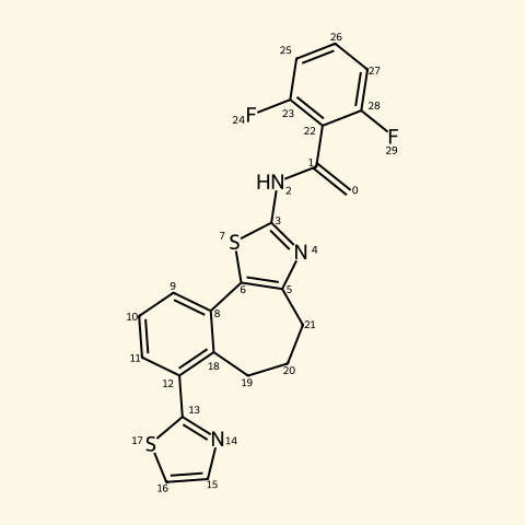 C=C(Nc1nc2c(s1)-c1cccc(-c3nccs3)c1CCC2)c1c(F)cccc1F